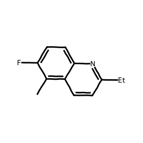 CCc1ccc2c(C)c(F)ccc2n1